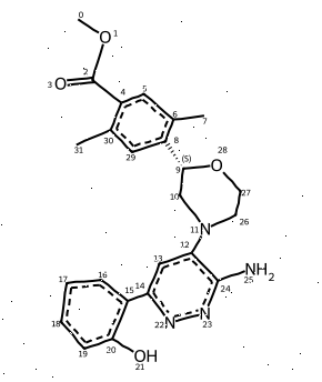 COC(=O)c1cc(C)c([C@H]2CN(c3cc(-c4ccccc4O)nnc3N)CCO2)cc1C